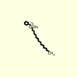 CCCCCCCCCCCCCCCC(O)OC(=O)c1ccccc1